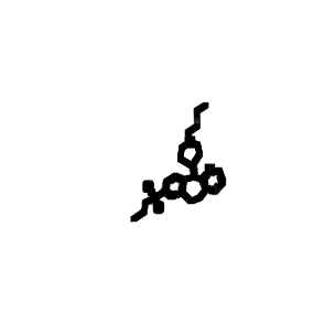 CCCCN1CCC(=C2c3ccc(S(=O)(=O)CCC)cc3CCc3cccnc32)CC1